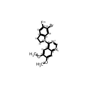 COc1cc2ncnc(N3CCc4cc(F)c(Br)cc43)c2cc1OC